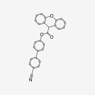 N#Cc1ccc(-c2ccc(OC(=O)C3c4ccccc4Oc4ccccc43)cc2)cc1